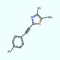 CC(C)c1ccc(C#Cc2nc(C(C)C)c(C(C)(C)C)s2)cc1